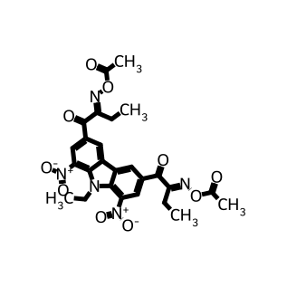 CC/C(=N\OC(C)=O)C(=O)c1cc([N+](=O)[O-])c2c(c1)c1cc(C(=O)/C(CC)=N/OC(C)=O)cc([N+](=O)[O-])c1n2CC